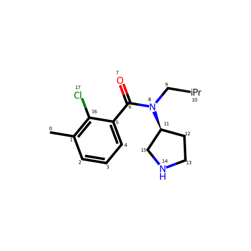 Cc1cccc(C(=O)N(CC(C)C)[C@H]2CCNC2)c1Cl